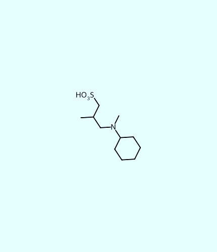 CC(CN(C)C1CCCCC1)CS(=O)(=O)O